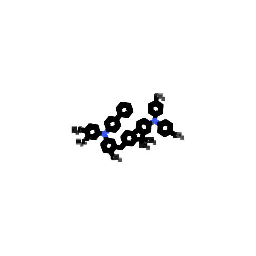 Cc1ccc(N(c2ccc(C)cc2)c2ccc3c(c2)C(C)(C)c2cc(Cc4cc(N(c5ccc(-c6ccccc6)cc5)c5ccc(C)c(C)c5)ccc4C)ccc2-3)cc1